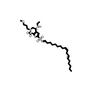 CCCCC/C=C/C/C=C\CCCCCCC/C=N/S(=O)(=O)c1cc2c(s1)S(=O)(=O)N(CCCOC)C[C@@H]2NCC